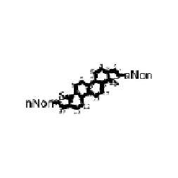 CCCCCCCCCc1cc2ccc3c4ccc5c(ccc6cc(CCCCCCCCC)sc65)c4ccc3c2s1